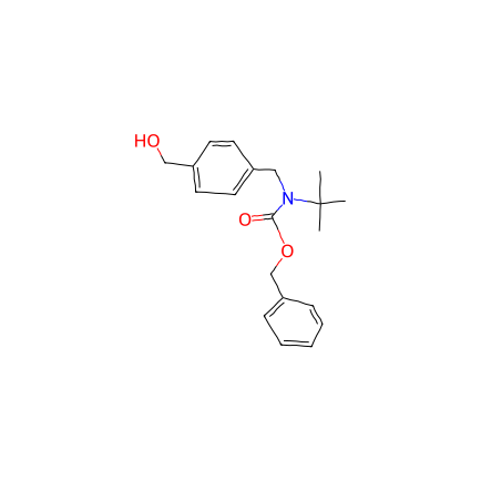 CC(C)(C)N(Cc1ccc(CO)cc1)C(=O)OCc1ccccc1